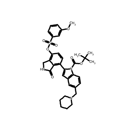 COc1cccc(S(=O)(=O)Oc2ccc(-c3cc4cc(CN5CCCCC5)ccc4n3C(=O)OC(C)(C)C)c3c2CNC3=O)c1